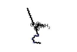 CCCCC/C=C\C/C=C\C/C=C\C/C=C\CCCC(=O)O[C@H](COC(=O)CCCCCCCCCCCCCC)COP(=O)(O)OCCN